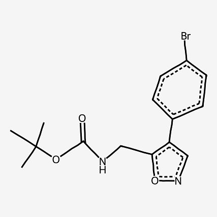 CC(C)(C)OC(=O)NCc1oncc1-c1ccc(Br)cc1